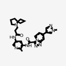 Cc1ncc(NC(=O)CCN2CCCC23CCC3)cc1NC(=O)c1nnc2cc(-c3cnn(C)c3)ccn12